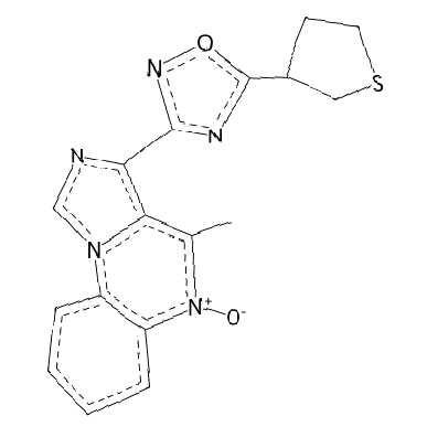 Cc1c2c(-c3noc(C4CCSC4)n3)ncn2c2ccccc2[n+]1[O-]